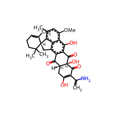 C=C(N)C1=C(O)C[C@@H]2C(=O)c3c(c(O)c4c(OC)cc(C)c5c4c3C[C@@]53C(C)=CCCC3(C)C)C(=O)[C@]2(O)C1=O